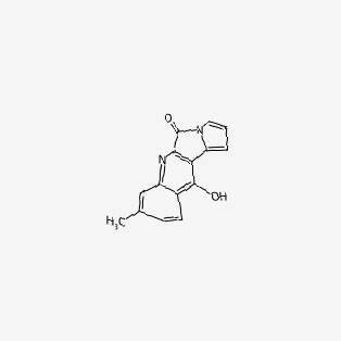 Cc1ccc2c(O)c3c(nc2c1)C(=O)n1cccc1-3